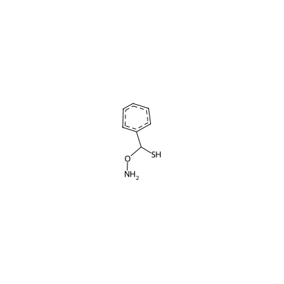 NOC(S)c1ccccc1